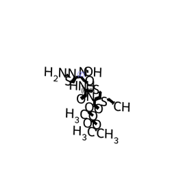 C#CCSC1=C(C(=O)OC(C)OC(=O)OC(C)C)N2C(=O)[C@@H](NC(=O)/C(=N\O)c3csc(N)n3)[C@@H]2SC1